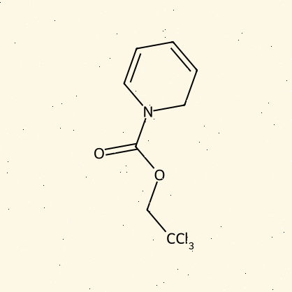 O=C(OCC(Cl)(Cl)Cl)N1C=CC=CC1